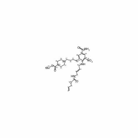 C=CCOC(=O)NC/C=C/CNc1c(OCCCN2CCN(C(=O)OC(C)(C)C)CC2)cc(C(N)=O)cc1[N+](=O)[O-]